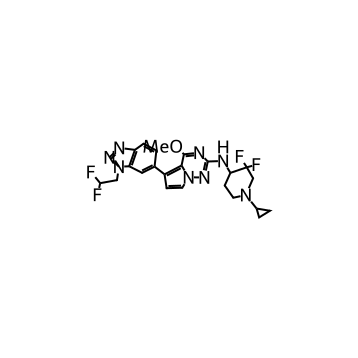 COc1nc(NC2CCN(C3CC3)CC2(F)F)nn2ccc(-c3ccc4nnn(CC(F)F)c4c3)c12